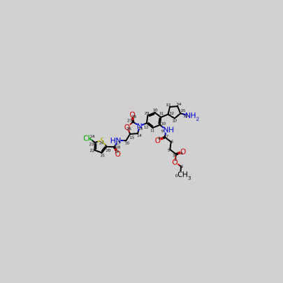 CCOC(=O)CCC(=O)Nc1cc(N2CC(CNC(=O)c3ccc(Cl)s3)OC2=O)ccc1C1CCC(N)C1